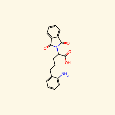 Nc1ccccc1CCCC(C(=O)O)N1C(=O)c2ccccc2C1=O